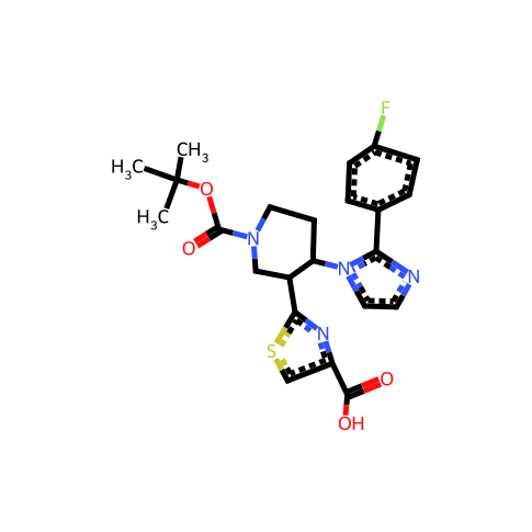 CC(C)(C)OC(=O)N1CCC(n2ccnc2-c2ccc(F)cc2)C(c2nc(C(=O)O)cs2)C1